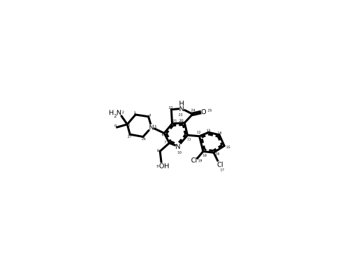 CC1(N)CCN(c2c(CO)nc(-c3cccc(Cl)c3Cl)c3c2CNC3=O)CC1